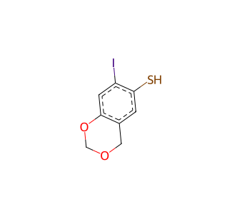 Sc1cc2c(cc1I)OCOC2